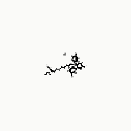 CCOC(CCCCCCCC[P+](c1ccc(C)cc1)(c1ccc(C)cc1)c1ccc(C)cc1)OCC.[I-]